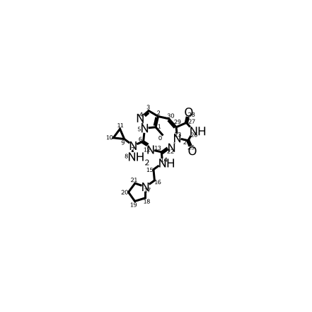 Cc1c2cnn1c(N(N)C1CC1)nc(NCCN1CCCC1)nn1c(=O)[nH]c(=O)c-1c2